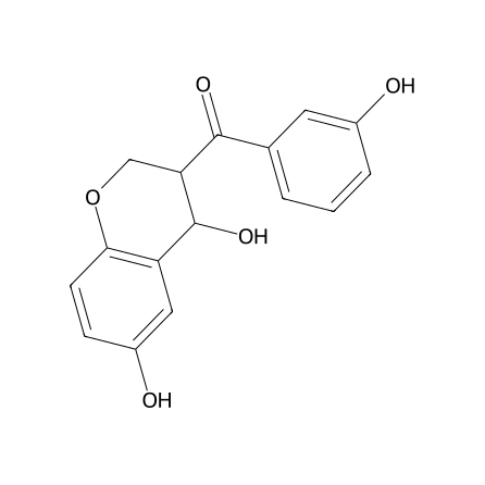 O=C(c1cccc(O)c1)C1COc2ccc(O)cc2C1O